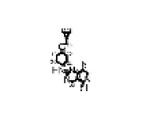 Clc1ncc(I)c2nc(N[C@H]3CC[C@H](OCC4CC4)CC3)ncc12